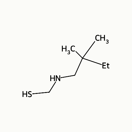 CCC(C)(C)CNCS